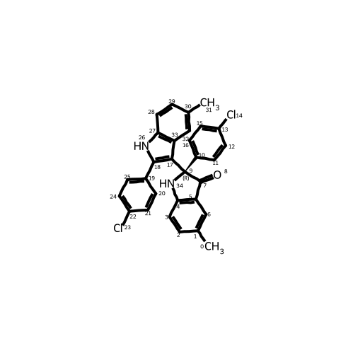 Cc1ccc2c(c1)C(=O)[C@@](c1ccc(Cl)cc1)(c1c(-c3ccc(Cl)cc3)[nH]c3ccc(C)cc13)N2